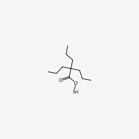 CCCC(CCC)(CCC)C(=O)[O][Sn]